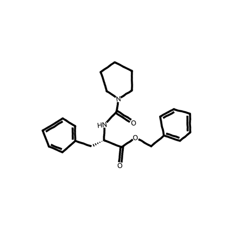 O=C(OCc1ccccc1)[C@H](Cc1ccccc1)NC(=O)N1CCCCC1